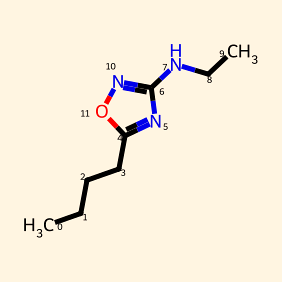 CCCCc1nc(NCC)no1